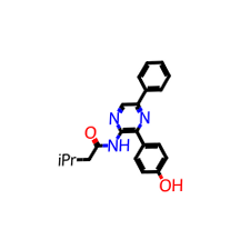 CC(C)CC(=O)Nc1ncc(-c2ccccc2)nc1-c1ccc(O)cc1